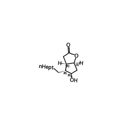 CCCCCCCC[C@@H]1[C@H]2CC(=O)O[C@H]2C[C@H]1O